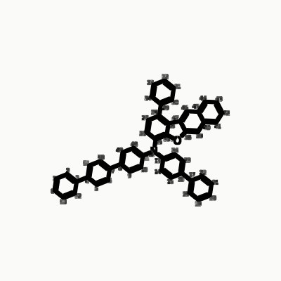 c1ccc(-c2ccc(-c3ccc(N(c4ccc(-c5ccccc5)cc4)c4ccc(-c5ccccc5)c5c4oc4cc6ccccc6cc45)cc3)cc2)cc1